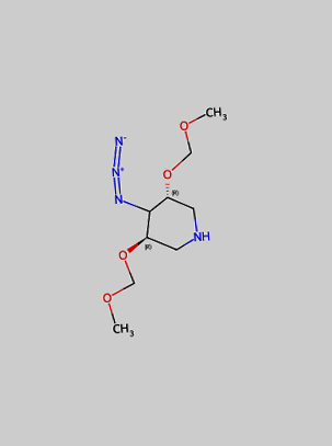 COCO[C@@H]1CNC[C@@H](OCOC)C1N=[N+]=[N-]